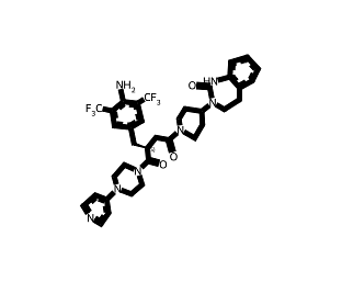 Nc1c(C(F)(F)F)cc(C[C@@H](CC(=O)N2CCC(N3CCc4ccccc4NC3=O)CC2)C(=O)N2CCN(c3ccncc3)CC2)cc1C(F)(F)F